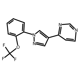 FC(F)(F)Oc1ccccc1-n1cc(-c2ccncn2)cn1